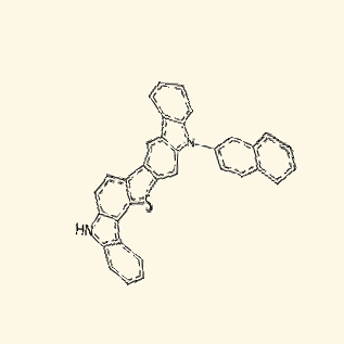 c1ccc2cc(-n3c4ccccc4c4cc5c(cc43)sc3c5ccc4[nH]c5ccccc5c43)ccc2c1